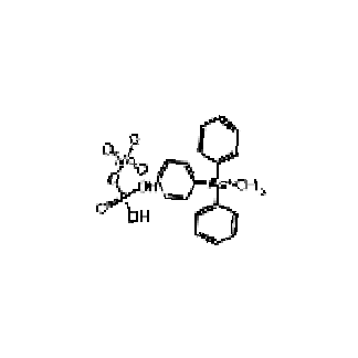 C[As+](c1ccccc1)(c1ccccc1)c1ccccc1.O=P(O)(O)[O][Mo](=[O])(=[O])[O-]